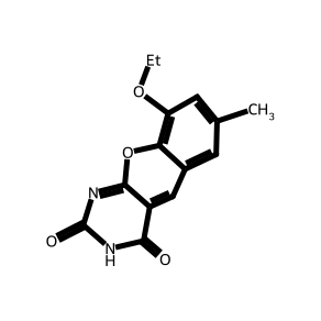 CCOc1cc(C)cc2cc3c(=O)[nH]c(=O)nc-3oc12